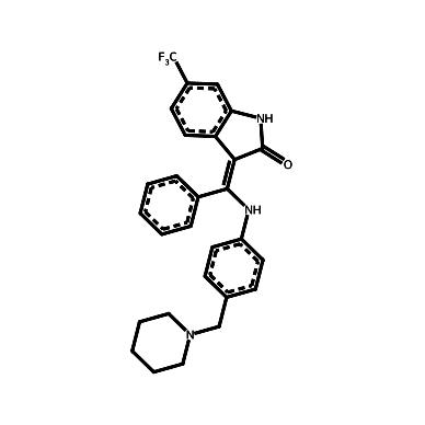 O=C1Nc2cc(C(F)(F)F)ccc2/C1=C(/Nc1ccc(CN2CCCCC2)cc1)c1ccccc1